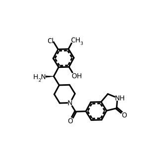 Cc1cc(O)c([C@H](N)C2CCN(C(=O)c3ccc4c(c3)CNC4=O)CC2)cc1Cl